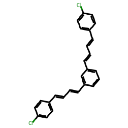 Clc1ccc(/C=C/C=C/c2cccc(/C=C/C=C/c3ccc(Cl)cc3)c2)cc1